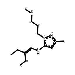 CCC(=CNc1cc(C)nn1CCCOC)CC